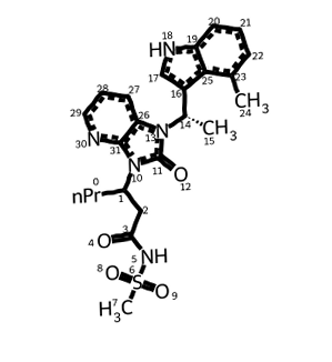 CCCC(CC(=O)NS(C)(=O)=O)n1c(=O)n([C@@H](C)c2c[nH]c3cccc(C)c23)c2cccnc21